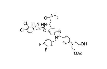 CC(=O)OCCN(CCO)c1ccc(-c2nc3cc(C(CC(N)=O)NC(=O)[C@@H](N)Cc4ccc(Cl)c(Cl)c4)ccc3n2Cc2ccc(F)c(F)c2)cc1